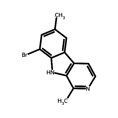 Cc1cc(Br)c2[nH]c3c(C)nccc3c2c1